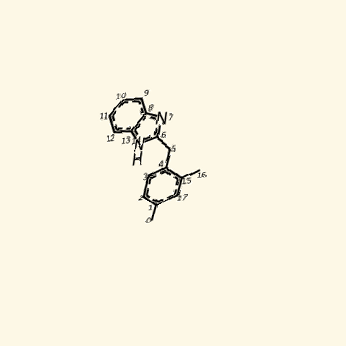 Cc1ccc(Cc2nc3ccccc3[nH]2)c(C)c1